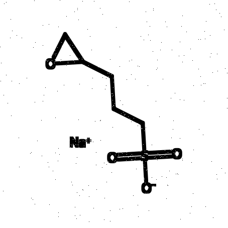 O=S(=O)([O-])CCCC1CO1.[Na+]